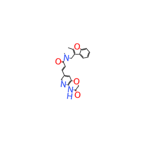 Cc1oc2ccccc2c1CN(C)C(=O)C=Cc1cnc2c(c1)OCC(=O)N2